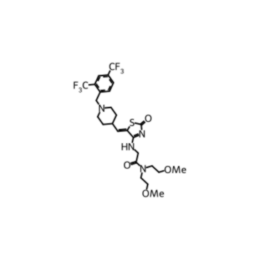 COCCN(CCOC)C(=O)CNC1=NC(=O)S/C1=C\C1CCN(Cc2ccc(C(F)(F)F)cc2C(F)(F)F)CC1